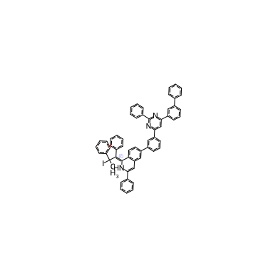 CC(I)(/C(=C1\NC(c2ccccc2)=Cc2cc(-c3cccc(-c4cc(-c5cccc(-c6ccccc6)c5)nc(-c5ccccc5)n4)c3)ccc21)c1ccccc1)c1ccccc1